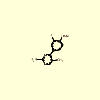 COc1ccc(-c2nc(N)ncc2C)cc1F